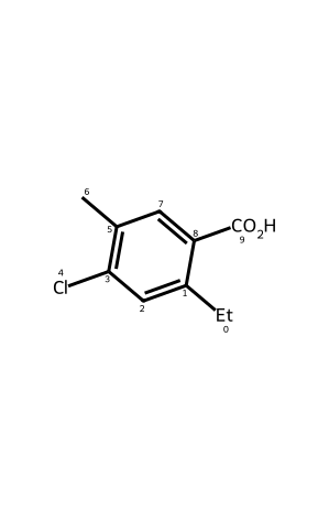 CCc1cc(Cl)c(C)cc1C(=O)O